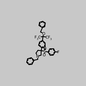 O=S(=O)(c1ccc(F)cc1)C1(c2ccc(C(OCc3ccccc3)(C(F)(F)F)C(F)(F)F)cc2)CCN(Cc2ccccc2)C1